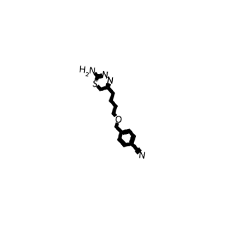 N#Cc1ccc(COCCCCC2=NN=C(N)SC2)cc1